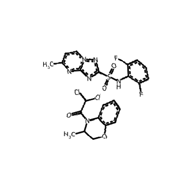 CC1COc2ccccc2N1C(=O)C(Cl)Cl.Cc1ccn2nc(S(=O)(=O)Nc3c(F)cccc3F)nc2n1